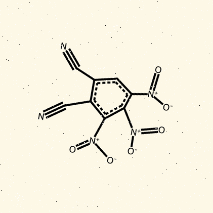 N#Cc1cc([N+](=O)[O-])c([N+](=O)[O-])c([N+](=O)[O-])c1C#N